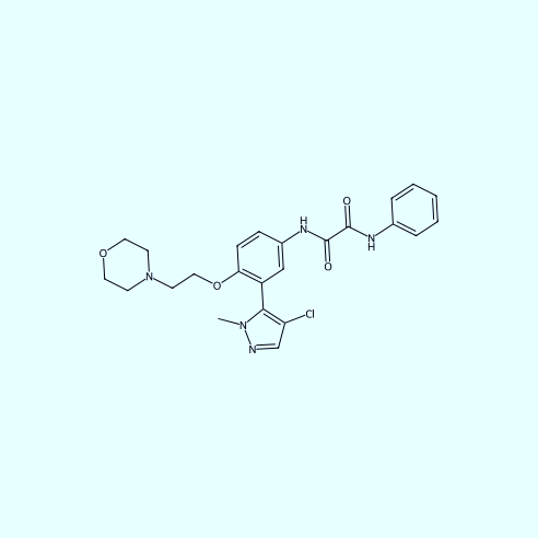 Cn1ncc(Cl)c1-c1cc(NC(=O)C(=O)Nc2ccccc2)ccc1OCCN1CCOCC1